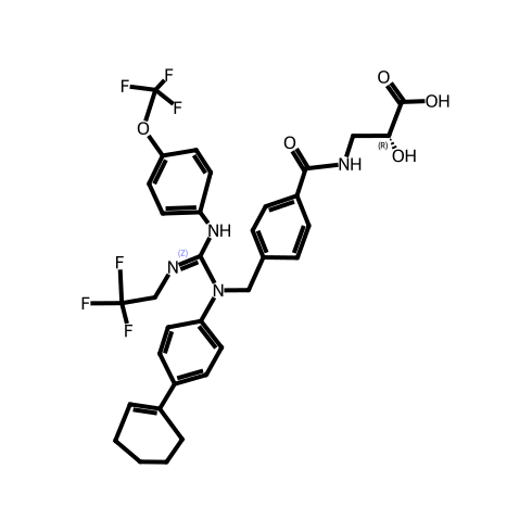 O=C(NC[C@@H](O)C(=O)O)c1ccc(CN(/C(=N\CC(F)(F)F)Nc2ccc(OC(F)(F)F)cc2)c2ccc(C3=CCCCC3)cc2)cc1